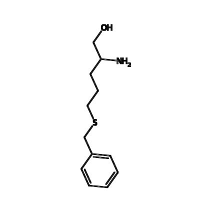 NC(CO)CCCSCc1ccccc1